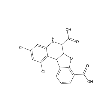 O=C(O)c1cccc2c1OC1C(C(=O)O)Nc3cc(Cl)cc(Cl)c3C21